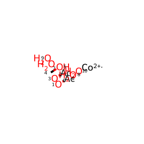 CC(=O)[O-].CC(=O)[O-].CO.O.O.O.O.[Co+2]